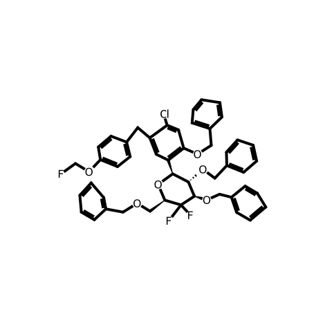 FCOc1ccc(Cc2cc([C@@H]3O[C@H](COCc4ccccc4)C(F)(F)[C@H](OCc4ccccc4)[C@H]3OCc3ccccc3)c(OCc3ccccc3)cc2Cl)cc1